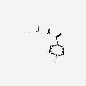 C=C(C(=O)OC(C)C(=O)O)c1ccc([N+](=O)[O-])cc1